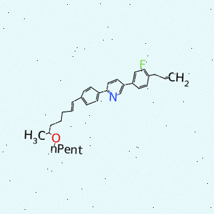 C=CCc1ccc(-c2ccc(-c3ccc(/C=C/CCCC(C)OCCCCC)cc3)nc2)cc1F